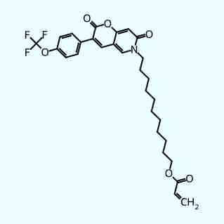 C=CC(=O)OCCCCCCCCCCCn1cc2cc(-c3ccc(OC(F)(F)F)cc3)c(=O)oc2cc1=O